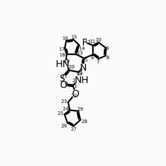 O=C(N[C@H]1N=C(c2ccccc2F)c2ccccc2NC1=S)OCc1ccccc1